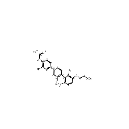 CCCCCCCCCCCCOc1ccc(C(=O)O)c(-c2ccc(-c3ccc(OC(=O)[C@@H](C)CC)c(F)c3)cc2F)c1F